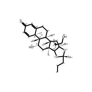 [2H][C@]1(CCC)O[C@@H]2C[C@H]3[C@@H]4CCC5=CC(=O)C=C[C@]5(C)[C@H]4[C@@H](O)C[C@]3(C)[C@]2(C(=O)CO)O1